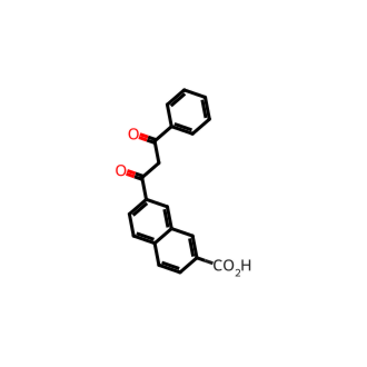 O=C(O)c1ccc2ccc(C(=O)CC(=O)c3ccccc3)cc2c1